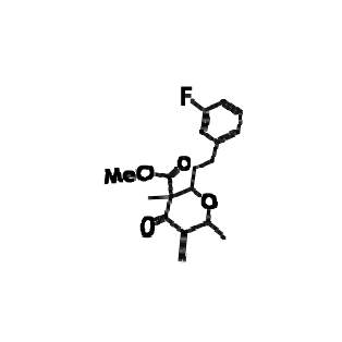 C=C1C(=O)C(C)(C(=O)OC)C(CCc2cccc(F)c2)OC1C